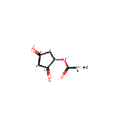 CCCCCCC(=O)OC1CC(=O)CC1=O